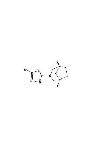 Brc1nnc(N2C[C@@H]3CC[C@@H](C3)C2)s1